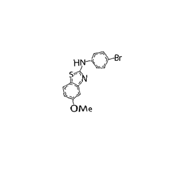 COc1ccc2sc(Nc3ccc(Br)cc3)nc2c1